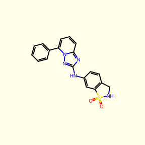 O=S1(=O)NCc2ccc(Nc3nc4cccc(-c5ccccc5)n4n3)cc21